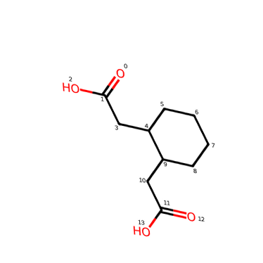 O=C(O)CC1CCCCC1CC(=O)O